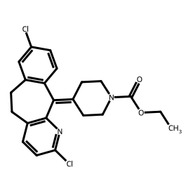 CCOC(=O)N1CCC(=C2c3ccc(Cl)cc3CCc3ccc(Cl)nc32)CC1